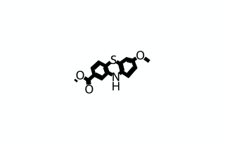 COC(=O)c1ccc2c(c1)Nc1ccc(OC)cc1S2